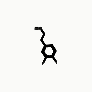 COCCc1ccc(I)c(F)c1